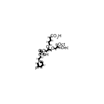 CCCCCCCCCCC(CCCCCCCC)COCC(COP(=O)(O)OCC[n+]1cccc(F)c1)OCCCCC(=O)O